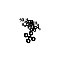 CCC(C)(CC(C)(C)C(=O)Oc1ccc(C(=C(c2ccccc2)c2ccccc2)c2ccccc2)cc1)C(=O)NC(C)(C)CS(=O)(=O)O